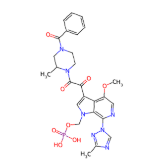 COc1cnc(-n2cnc(C)n2)c2c1c(C(=O)C(=O)N1CCN(C(=O)c3ccccc3)CC1C)cn2COP(=O)(O)O